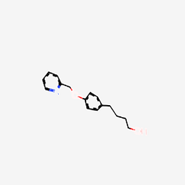 OCCCCc1ccc(OCc2ccccn2)cc1